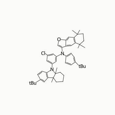 CC(C)(C)c1ccc(N(c2cc(Cl)cc(N3c4ccc(C(C)(C)C)cc4C4(C)CCCCC34C)c2)c2coc3cc4c(cc23)C(C)(C)CCC4(C)C)cc1